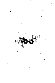 CC(N)(c1ccc(-c2cccc(NC(=O)O)n2)cc1)[SH](=O)=O